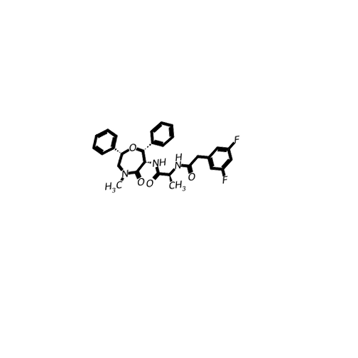 C[C@H](NC(=O)Cc1cc(F)cc(F)c1)C(=O)N[C@@H]1C(=O)N(C)C[C@H](c2ccccc2)O[C@@H]1c1ccccc1